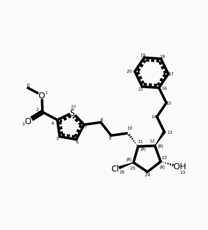 COC(=O)c1ccc(CCC[C@@H]2[C@@H](CCCc3ccccc3)[C@H](O)C[C@H]2Cl)s1